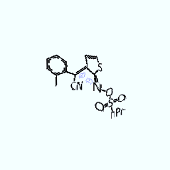 CCCS(=O)(=O)O/N=C1\SC=C\C1=C(\C#N)c1ccccc1C